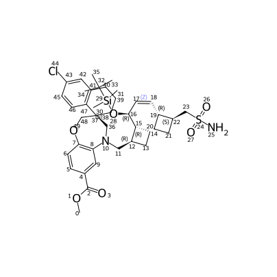 COC(=O)c1ccc2c(c1)N(C[C@@H]1CC[C@H]1[C@H](/C=C\[C@H]1CC[C@@H]1CS(N)(=O)=O)O[Si](C)(C)C(C)(C)C)C[C@@]1(CCCc3cc(Cl)ccc31)CO2